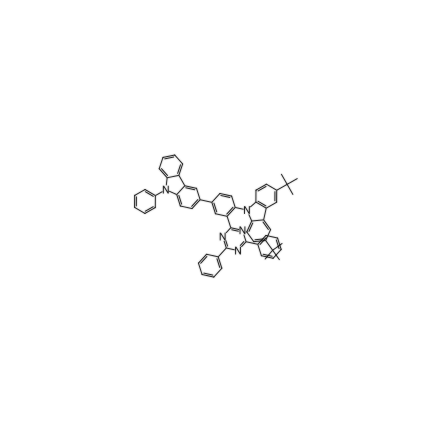 CC(C)(C)c1ccc2c(c1)c1cc(C(C)(C)C)ccc1n2-c1ccc(-c2ccc3c(c2)c2ccccc2n3-c2ccccc2)cc1-c1nc(-c2ccccc2)nc(-c2ccccc2)n1